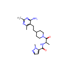 Cc1nc(C(F)(F)F)nc(N)c1CCC1CCN(C(=O)C(C)NC(=O)c2ccnn2C)CC1